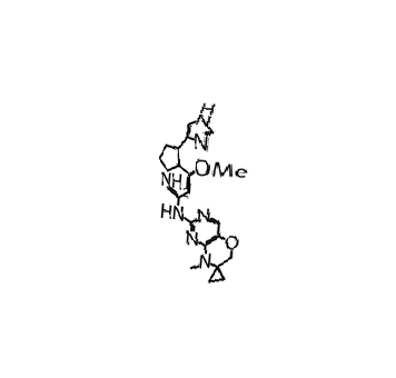 CO/C(=C/C(=C\N)Nc1ncc2c(n1)N(C)C1(CC1)CO2)C1CCCC1c1c[nH]cn1